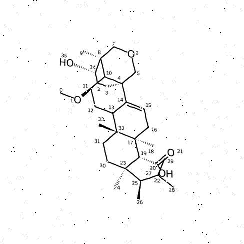 CO[C@@H]1C[C@@]23COC[C@@](C)(C2CCC2C3=CC[C@@]3(C)[C@H](C(=O)O)[C@@](C)([C@H](C)C(C)C)CC[C@]23C)[C@H]1O